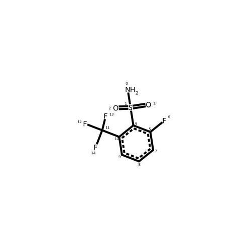 NS(=O)(=O)c1c(F)cccc1C(F)(F)F